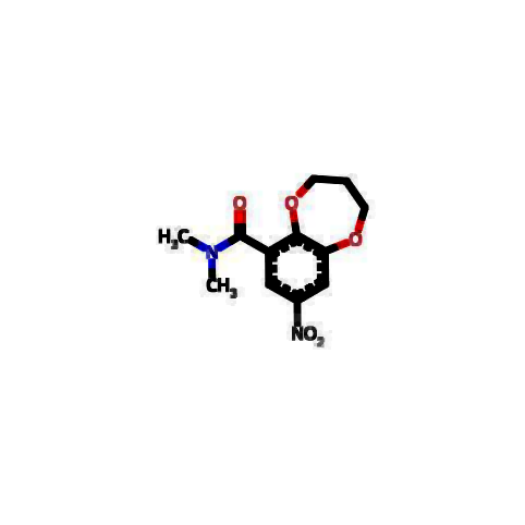 CN(C)C(=O)c1cc([N+](=O)[O-])cc2c1OCCCO2